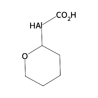 O=[C](O)[AlH][CH]1CCCCO1